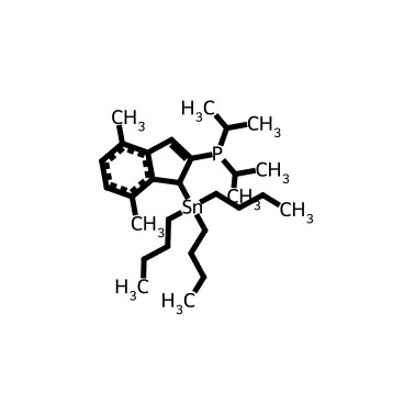 CCC[CH2][Sn]([CH2]CCC)([CH2]CCC)[CH]1C(P(C(C)C)C(C)C)=Cc2c(C)ccc(C)c21